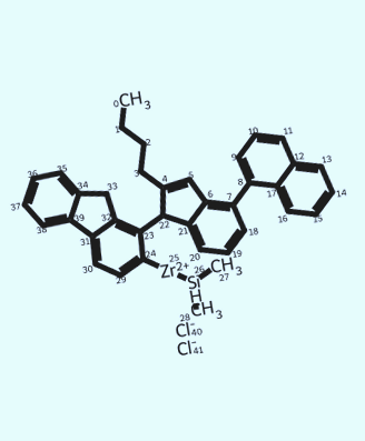 CCCCC1=Cc2c(-c3cccc4ccccc34)cccc2C1c1[c]([Zr+2][SiH](C)C)ccc2c1Cc1ccccc1-2.[Cl-].[Cl-]